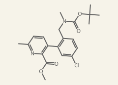 COC(=O)c1nc(C)ccc1-c1cc(Cl)ccc1CN(C)C(=O)OC(C)(C)C